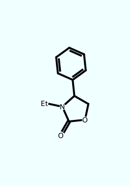 CCN1C(=O)OCC1c1ccccc1